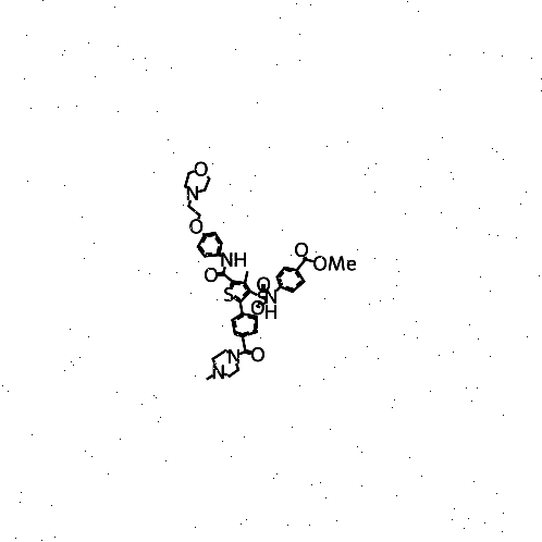 COC(=O)c1ccc(NS(=O)(=O)c2c(-c3ccc(C(=O)N4CCN(C)CC4)cc3)sc(C(=O)Nc3ccc(OCCN4CCOCC4)cc3)c2C)cc1